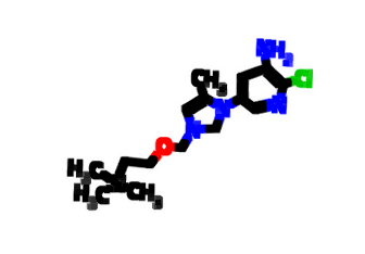 CC1=CN(COCC[Si](C)(C)C)CN1c1cnc(Cl)c(N)c1